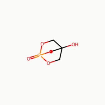 O=P12OCC(O)(CO1)CO2